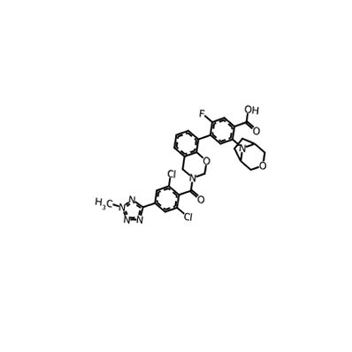 Cn1nnc(-c2cc(Cl)c(C(=O)N3COc4c(cccc4-c4cc(N5C6CCC5COC6)c(C(=O)O)cc4F)C3)c(Cl)c2)n1